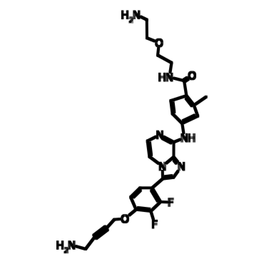 Cc1cc(Nc2nccn3c(-c4ccc(OCC#CCN)c(F)c4F)cnc23)ccc1C(=O)NCCOCCN